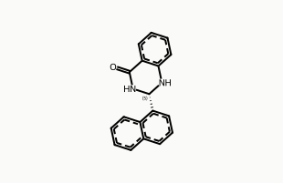 O=C1N[C@@H](c2cccc3ccccc23)Nc2ccccc21